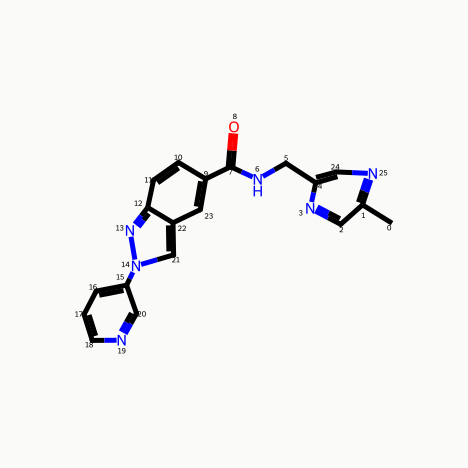 Cc1cnc(CNC(=O)c2ccc3nn(-c4cccnc4)cc3c2)cn1